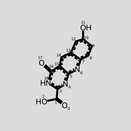 O=C(O)c1nc2nc3ccc(O)cc3cc2c(=O)[nH]1